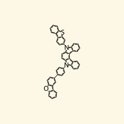 c1ccc2c(c1)oc1ccc(-c3ccc(-n4c5ccccc5c5c6c7ccccc7n(-c7ccc8c(c7)sc7ccccc78)c6ccc54)cc3)cc12